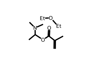 C=C(C)C(=O)OC(C)N(C)C.CCOCC